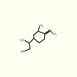 CC=C1CCC(C(C)CO)CC1C